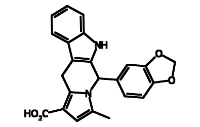 Cc1cc(C(=O)O)c2n1C(c1ccc3c(c1)OCO3)c1[nH]c3ccccc3c1C2